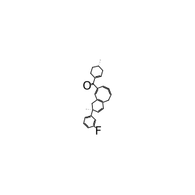 C[C@@H]1CC=C(C(=O)/C2=C/C3=C(C=C[C@@](C)(c4cccc(F)c4)C3)CC=C=C2)CC1